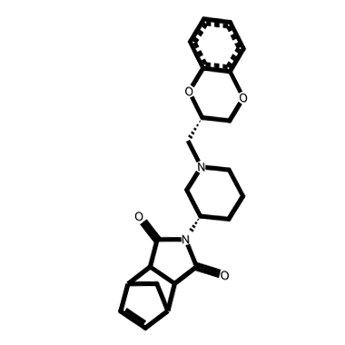 O=C1C2C3C=CC(C3)C2C(=O)N1[C@H]1CCCN(C[C@H]2COc3ccccc3O2)C1